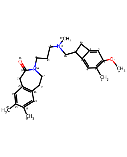 COc1cc2c(cc1C)C(CN(C)CCCN1CCc3cc(C)c(C)cc3CC1=O)C2